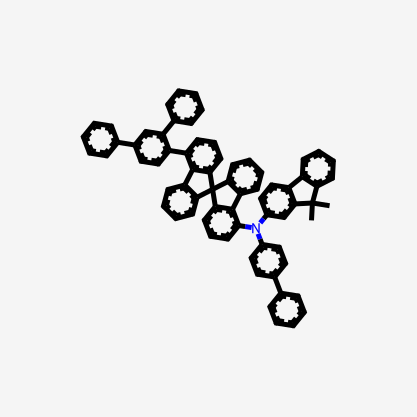 CC1(C)c2ccccc2-c2ccc(N(c3ccc(-c4ccccc4)cc3)c3cccc4c3-c3ccccc3C43c4ccccc4-c4c(-c5ccc(-c6ccccc6)cc5-c5ccccc5)cccc43)cc21